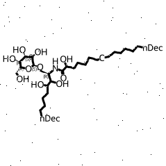 CCCCCCCCCCCCCCCCCCCCCCC(O)C(=O)N[C@H](CO[C@H]1O[C@H](CO)[C@H](O)[C@H](O)[C@H]1O)C(O)C(O)CCCCCCCCCCCCCC